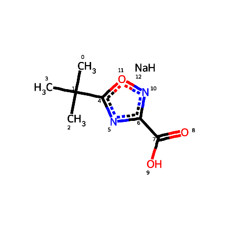 CC(C)(C)c1nc(C(=O)O)no1.[NaH]